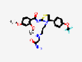 COc1ccc(C(=O)/N=c2\scc(-c3ccc(OC(F)(F)F)cc3)n2CCCNCC(N)=O)c(OC)c1